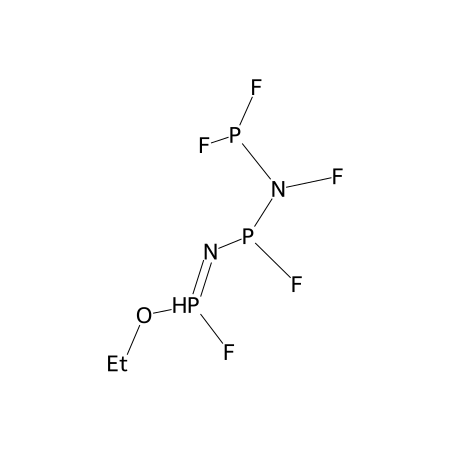 CCO/[PH](F)=N/P(F)N(F)P(F)F